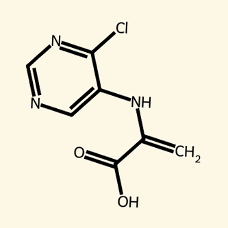 C=C(Nc1cncnc1Cl)C(=O)O